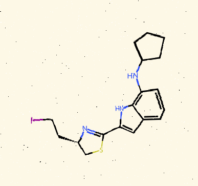 ICC[C@@H]1CSC(c2cc3cccc(NC4CCCC4)c3[nH]2)=N1